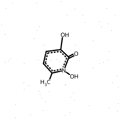 Cc1ccc(O)c(=O)n1O